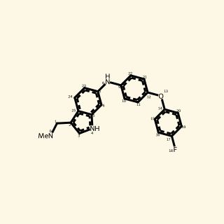 CNCc1c[nH]c2cc(Nc3ccc(Oc4ccc(F)cc4)cc3)ccc12